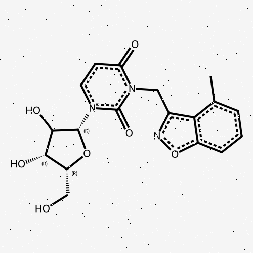 Cc1cccc2onc(Cn3c(=O)ccn([C@@H]4O[C@H](CO)[C@H](O)C4O)c3=O)c12